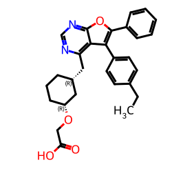 CCc1ccc(-c2c(-c3ccccc3)oc3ncnc(C[C@H]4CCC[C@@H](OCC(=O)O)C4)c23)cc1